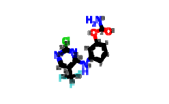 NC(=O)Oc1cccc(Nc2nc(Cl)ncc2C(F)(F)F)c1